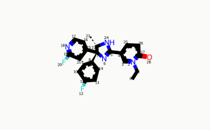 CCn1cc(C2=N[C@](c3ccc(F)cc3)(c3ccnc(F)c3)[C@H](C)N2)ccc1=O